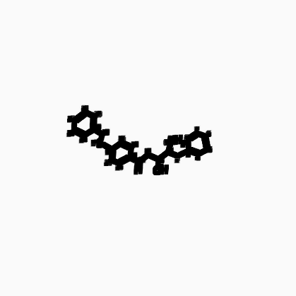 NC(Cc1ccccc1)C(O)CNc1ccc(SCc2ccccc2)cc1